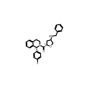 O=C([C@H]1CC(NCc2ccccc2)CO1)N1CCc2ccccc2[C@@H]1c1ccc(F)cc1